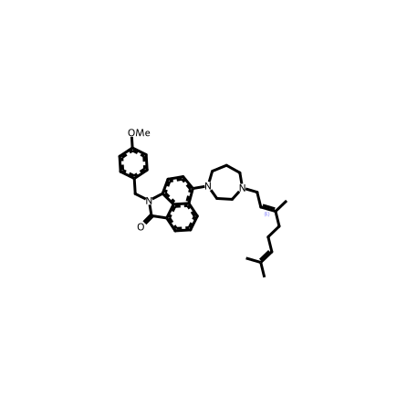 COc1ccc(CN2C(=O)c3cccc4c(N5CCCN(C/C=C(\C)CCC=C(C)C)CC5)ccc2c34)cc1